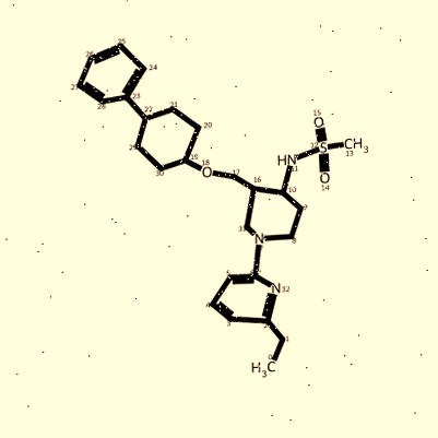 CCc1cccc(N2CCC(NS(C)(=O)=O)C(COC3CCC(c4ccccc4)CC3)C2)n1